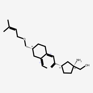 C=C(/C=C1/CC[C@@H](COCC=C(C)C)C/C1=C/C)[C@H]1CC[C@](N)(CO)C1